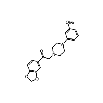 COc1cccc(N2CCN(CC(=O)c3ccc4c(c3)OCO4)CC2)c1